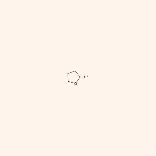 [CH]1CCCO1.[H+]